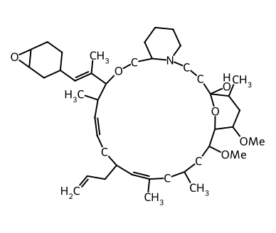 C=CCC1C=C(C)CC(C)CC(OC)C2OC(O)(CCN3CCCCC3COC(C(C)=CC3CCC4OC4C3)C(C)C=CC1)C(C)CC2OC